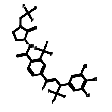 O=C(N[C@@H]1CON(CC(F)(F)F)C1=O)c1ccc(/C(F)=C/C(c2cc(Cl)c(Cl)c(Cl)c2)C(F)(F)F)cc1C(F)(F)F